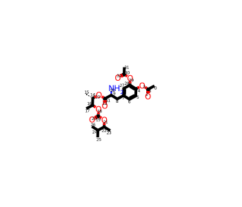 CC(=O)Oc1ccc(C[C@H](N)C(=O)O[C@@H](C)C(C)OC(=O)OC(C)C(C)C)cc1OC(C)=O